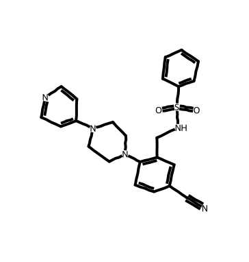 N#Cc1ccc(N2CCN(c3ccncc3)CC2)c(CNS(=O)(=O)c2ccccc2)c1